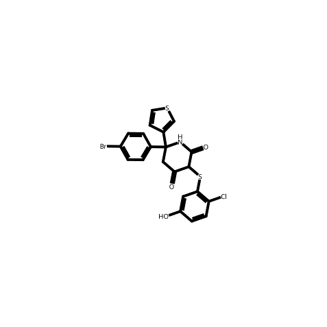 O=C1CC(c2ccc(Br)cc2)(c2ccsc2)NC(=O)C1Sc1cc(O)ccc1Cl